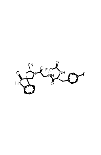 N#C[C@@H]1C[C@@]2(CN1C(=O)CNC(=O)[C@H](Cc1ccc(F)cc1)NC(=O)C(F)(F)F)C(=O)Nc1ccccc12